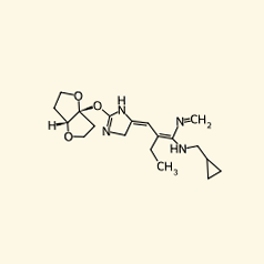 C=N/C(NCC1CC1)=C(\C=C1/CN=C(O[C@@]23CCO[C@@H]2CCO3)N1)CC